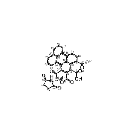 O=C(O)c1c(C(=O)O)c2c(C(=O)O)ccc3c4cccc5cccc(c(c1C(=O)O)c23)c54.O=C1C=CC(=O)N1